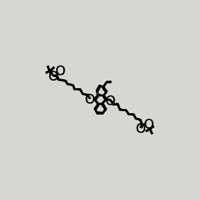 CCc1ccc2c(OCCCCCCCCC(=O)OC(C)(C)C)c3ccccc3c(OCCCCCCCCC(=O)OC(C)(C)C)c2c1